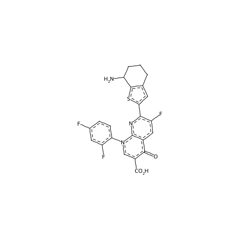 NC1CCCc2cc(-c3nc4c(cc3F)c(=O)c(C(=O)O)cn4-c3ccc(F)cc3F)sc21